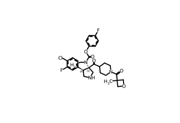 CCN(C(=O)Oc1ccc(F)cc1)[C@]1(C(=O)C2CCN(C(=O)C3(C)COC3)CC2)CNC[C@H]1c1ccc(Cl)c(F)c1